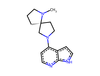 CN1CCC[C@@]12CCN(c1ccnc3[nH]ccc13)C2